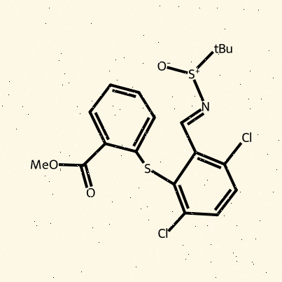 COC(=O)c1ccccc1Sc1c(Cl)ccc(Cl)c1C=N[S+]([O-])C(C)(C)C